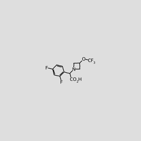 O=C(O)C(c1ccc(F)cc1F)N1CC(OC(F)(F)F)C1